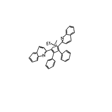 CC[Si]1(C)C(c2ccc3ccccc3n2)=C(c2ccccc2)C(c2ccccc2)=C1c1ccc2ccccc2n1